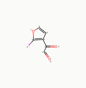 O=CC(=O)c1ccoc1I